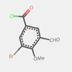 COc1c(Br)cc(C(=O)Cl)cc1C=O